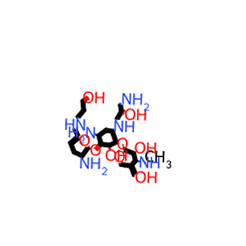 CN[C@H]1/C(=C\O)CO[C@H](O[C@H]2[C@H](NCC(O)CN)C[C@H](N)C(O[C@H]3OC(CNCCCO)=CC[C@H]3N)[C@@H]2O)[C@@H]1O